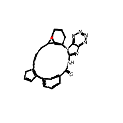 O=C1Nc2nc3nnnnc3n2C23CCC(CC2)CC(CCCC2=C(C=CC2)c2cccc1c2)C3